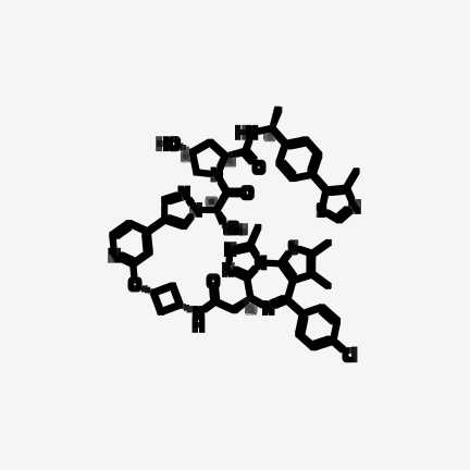 Cc1ncsc1-c1ccc([C@H](C)NC(=O)[C@@H]2C[C@@H](O)CN2C(=O)[C@H](n2cc(-c3ccnc(O[C@H]4C[C@@H](NC(=O)C[C@@H]5N=C(c6ccc(Cl)cc6)c6c(sc(C)c6C)-n6c(C)nnc65)C4)c3)cn2)C(C)(C)C)cc1